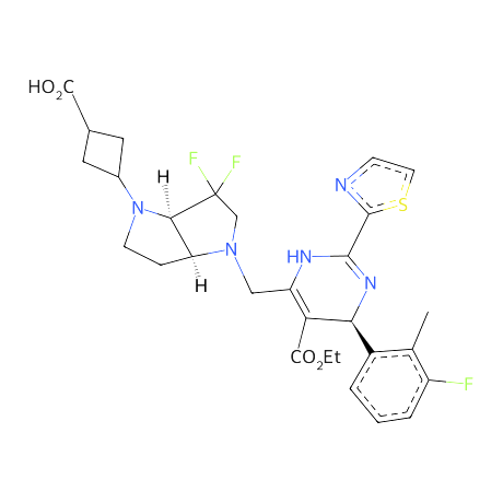 CCOC(=O)C1=C(CN2CC(F)(F)[C@H]3[C@@H]2CCN3C2CC(C(=O)O)C2)NC(c2nccs2)=N[C@H]1c1cccc(F)c1C